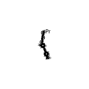 CCCOCCOCCOc1ccc(C#Cc2ccc(N(C)C)cc2)cc1C